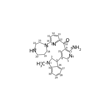 CN1CC(c2cnc(N)c(C(=O)c3cccc(N4CCCNCC4)n3)c2)c2ccccc21